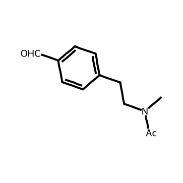 CC(=O)N(C)CCc1ccc(C=O)cc1